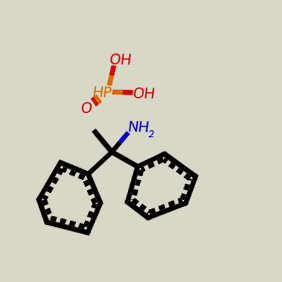 CC(N)(c1ccccc1)c1ccccc1.O=[PH](O)O